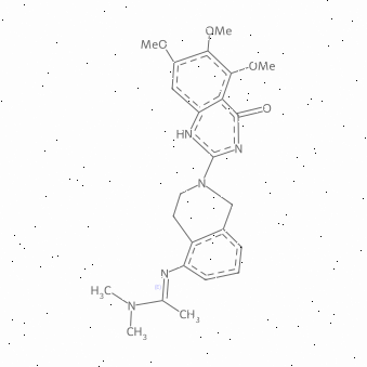 COc1cc2[nH]c(N3CCc4c(cccc4/N=C(\C)N(C)C)C3)nc(=O)c2c(OC)c1OC